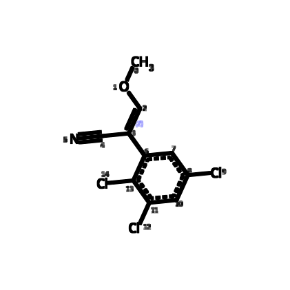 CO/C=C(\C#N)c1cc(Cl)cc(Cl)c1Cl